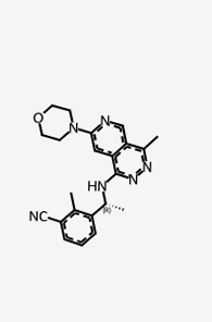 Cc1c(C#N)cccc1[C@@H](C)Nc1nnc(C)c2cnc(N3CCOCC3)cc12